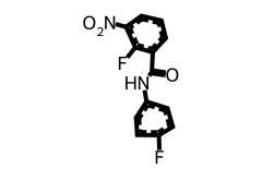 O=C(Nc1ccc(F)cc1)c1cccc([N+](=O)[O-])c1F